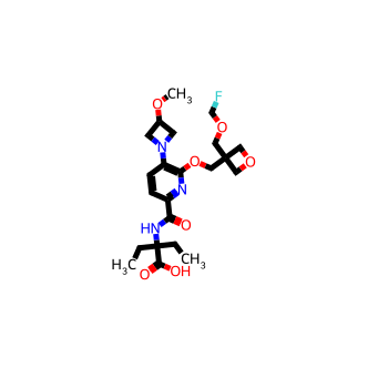 CCC(CC)(NC(=O)c1ccc(N2CC(OC)C2)c(OCC2(COCF)COC2)n1)C(=O)O